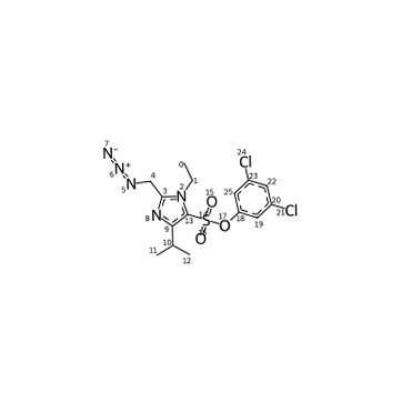 CCn1c(CN=[N+]=[N-])nc(C(C)C)c1S(=O)(=O)Oc1cc(Cl)cc(Cl)c1